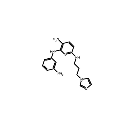 Nc1cccc(Nc2nc(NCCCn3ccnc3)ccc2[N+](=O)[O-])c1